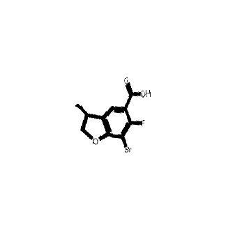 CC1COc2c1cc(C(=O)O)c(F)c2Br